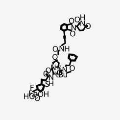 CC(C)(C)[C@H](NC(=O)c1cc2cc(C(F)(F)P(=O)(O)O)ccc2s1)C(=O)N1C[C@@H](OCC(=O)NCCC#Cc2cccc3c2C(=O)N(C2CCC(=O)NC2=O)C3=O)C[C@H]1C(=O)N1CCOC(c2ccccc2)C1